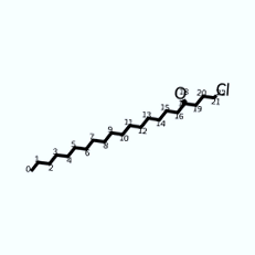 CCCCCCCCCCCCCCCCCC(=O)CCCCl